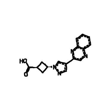 O=C(O)[C@H]1C[C@H](n2cc(-c3cnc4ccccc4n3)cn2)C1